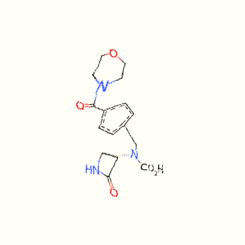 O=C1NC[C@@H]1N(Cc1ccc(C(=O)N2CCOCC2)cc1)C(=O)O